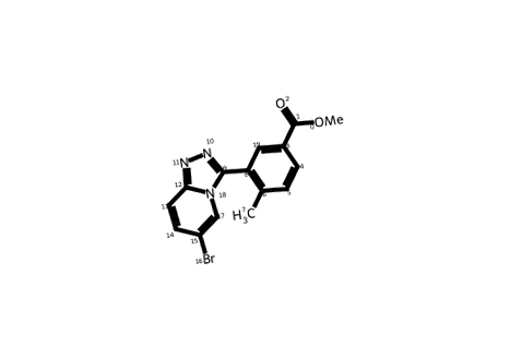 COC(=O)c1ccc(C)c(-c2nnc3ccc(Br)cn23)c1